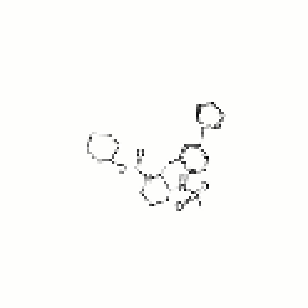 CS(=O)(=O)N[C@@H]1CCCN(C(=O)OC2CCCCC2)[C@@H]1Cc1cccc(-c2ccccc2)c1